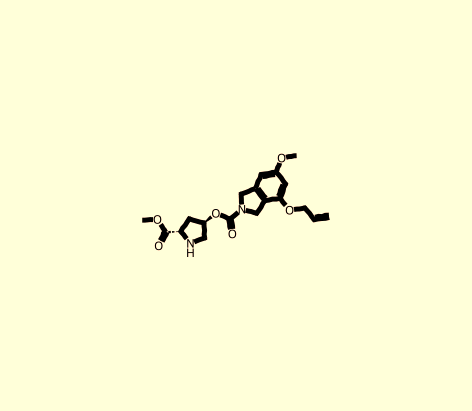 C=CCOc1cc(OC)cc2c1CN(C(=O)O[C@H]1CN[C@H](C(=O)OC)C1)C2